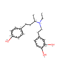 CCN(CCc1ccc(O)c(O)c1)C(C)CCc1ccc(O)cc1